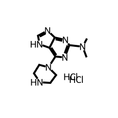 CN(C)c1nc(N2CCNCC2)c2[nH]cnc2n1.Cl.Cl